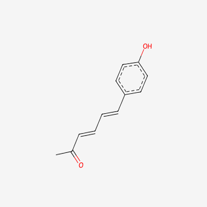 CC(=O)C=CC=Cc1ccc(O)cc1